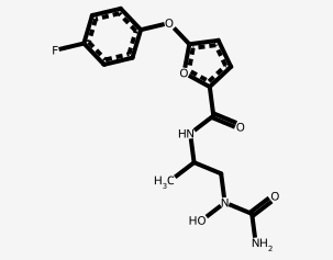 CC(CN(O)C(N)=O)NC(=O)c1ccc(Oc2ccc(F)cc2)o1